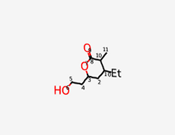 CCC1CC(CCO)OC(=O)C1C